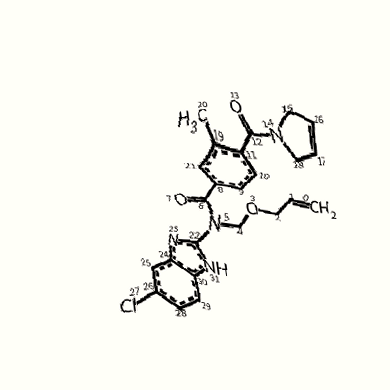 C=CCOCN(C(=O)c1ccc(C(=O)N2CC=CC2)c(C)c1)c1nc2cc(Cl)ccc2[nH]1